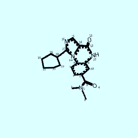 CN(C)C(=O)c1ccc2c(c1)[nH]c(=O)c1cnc(C3CCCCC3)n12